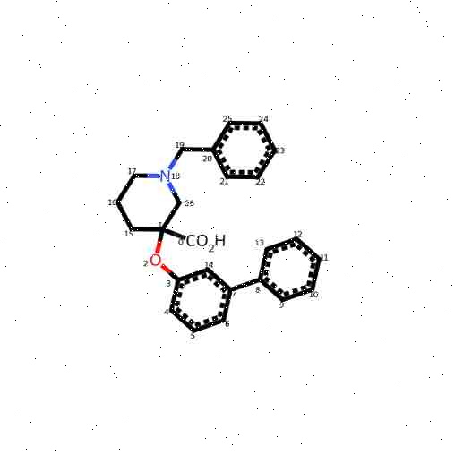 O=C(O)C1(Oc2cccc(-c3ccccc3)c2)CCCN(Cc2ccccc2)C1